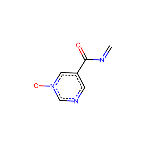 C=NC(=O)c1cnc[n+]([O-])c1